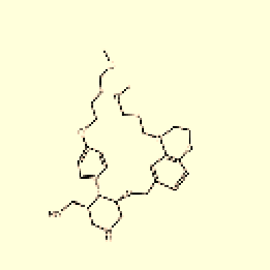 COCCCCOc1ccc([C@H]2[C@H](CO)CNC[C@@H]2OCc2ccc3c(c2)N(CCCOC)CCO3)cc1